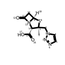 C[C@@]1(Cn2ccnn2)S[C@@H]2CC(=O)N2[C@H]1C(=O)O